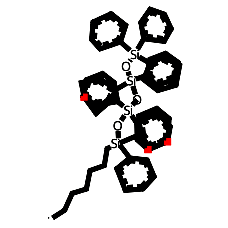 [CH2]CCCCCC[Si](O[Si](O[Si](O[Si](c1ccccc1)(c1ccccc1)c1ccccc1)(c1ccccc1)c1ccccc1)(c1ccccc1)c1ccccc1)(c1ccccc1)c1ccccc1